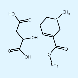 COC(=O)C1=CCCN(C)C1.O=C(O)CC(O)C(=O)O